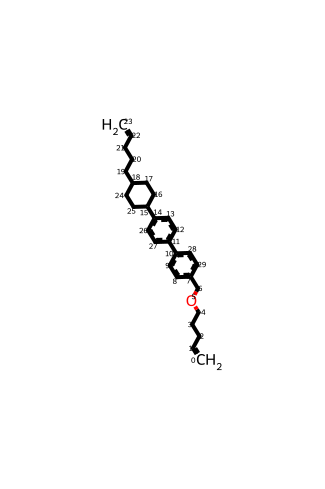 C=CCCCOCc1ccc(-c2ccc(C3CCC(CCCC=C)CC3)cc2)cc1